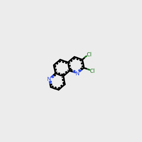 Clc1cc2ccc3ncccc3c2nc1Cl